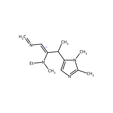 C=N/C=C(/C(C)c1cnc(C)n1C)N(C)CC